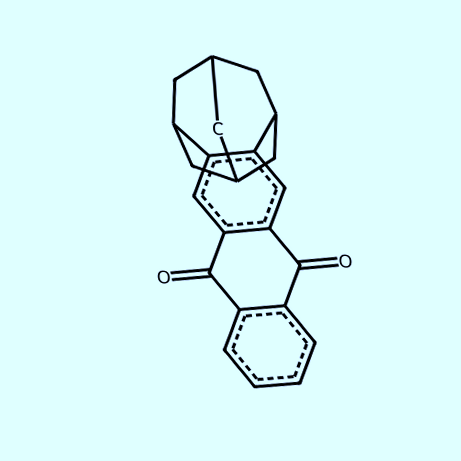 O=C1c2ccccc2C(=O)c2cc3c(cc21)C1CC2CC(C1)CC3C2